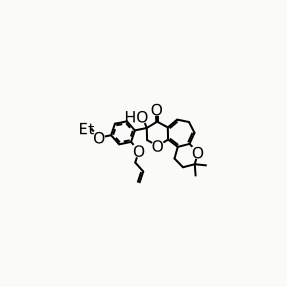 C=CCOc1cc(OCC)ccc1C1(O)COC2=C3CCC(C)(C)OC3=CCC=C2C1=O